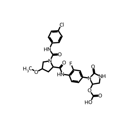 COC1CC(C(=O)Nc2ccc(N3C(=O)NCC3OC(=O)O)cc2F)N(C(=O)Nc2ccc(Cl)cc2)C1